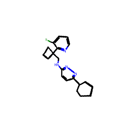 Fc1cccnc1C1(CNc2ccc(C3CCCCC3)nn2)CCC1